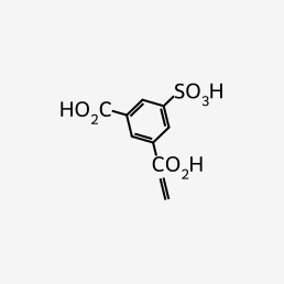 C=C.O=C(O)c1cc(C(=O)O)cc(S(=O)(=O)O)c1